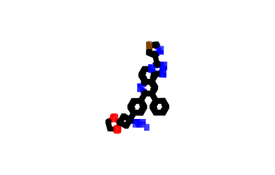 NC1(c2ccc(-c3nc4ccn5c(-c6cscn6)nnc5c4cc3-c3ccccc3)cc2)CC2(C1)OCCO2